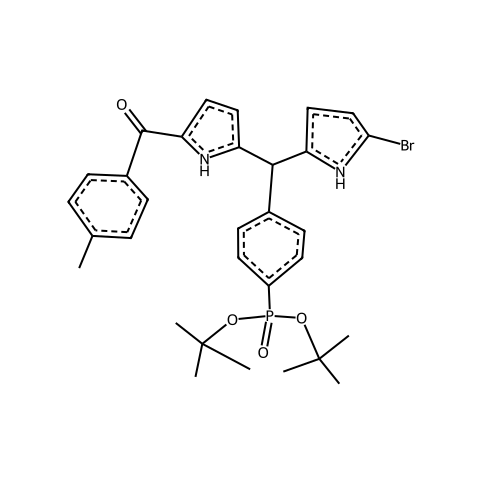 Cc1ccc(C(=O)c2ccc(C(c3ccc(P(=O)(OC(C)(C)C)OC(C)(C)C)cc3)c3ccc(Br)[nH]3)[nH]2)cc1